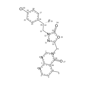 Cc1ccnc2ncn(Cc3nn(C[C@@H](F)c4ccc(Cl)cc4)c(=O)o3)c(=O)c12